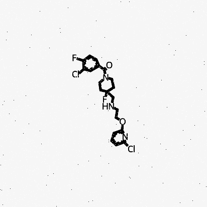 O=C(c1ccc(F)c(Cl)c1)N1CCC(F)(CNCCOc2cccc(Cl)n2)CC1